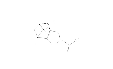 CC(N)B1O[C@@H]2C[C@@H]3C[C@@H](C3(C)C)[C@]2(C)O1